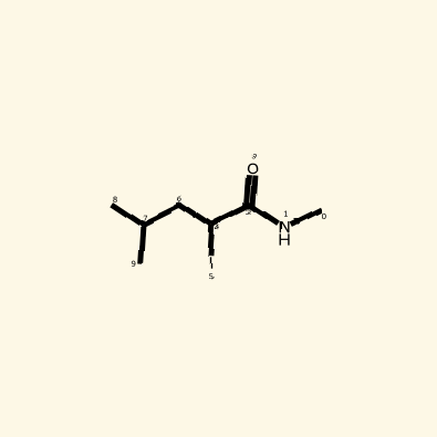 CNC(=O)C(I)CC(C)C